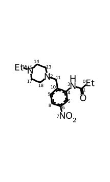 CCC(=O)Nc1cc([N+](=O)[O-])ccc1CN1CCN(CC)CC1